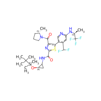 C[C@H](Nc1cc(C(F)F)c(-c2sc(C(=O)NC3C[C@H]3O[Si](C)(C)C(C)(C)C)nc2C(=O)N2CCC[C@@H]2C)cn1)C(F)(F)F